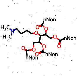 CCCCCCCCCC(=O)OCC(OC(=O)CCCCCCCCC)C(OCCCCN(C)C)C(COC(=O)CCCCCCCCC)OC(=O)CCCCCCCCC